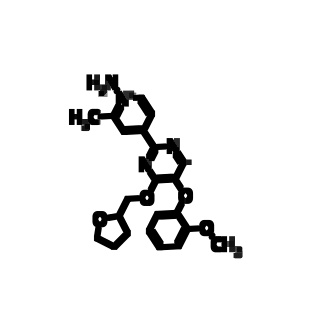 COc1ccccc1Oc1[c]nc(-c2cc[n+](N)c(C)c2)nc1OCC1CCCO1